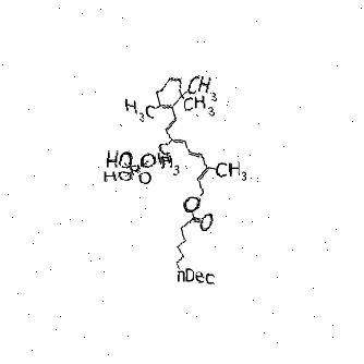 CCCCCCCCCCCCCCCC(=O)OCC=C(C)C=CC=C(C)C=CC1=C(C)CCCC1(C)C.O=P(O)(O)O